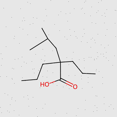 CCCC(CCC)(CC(C)C)C(=O)O